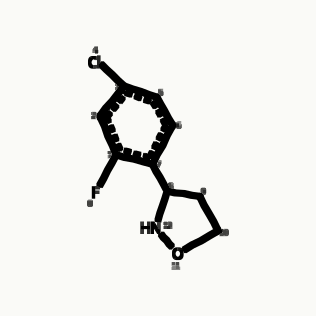 Fc1cc(Cl)ccc1C1CCON1